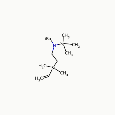 C=C[Si](C)(C)CCN(C(C)CC)[Si](C)(C)C